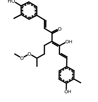 COOC(C)CC/C(C(=O)/C=C/c1ccc(O)c(C)c1)=C(O)\C=C\c1ccc(O)c(C)c1